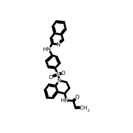 C=CC(=O)NC1CCN(S(=O)(=O)c2ccc(Nc3cc4ccccc4cn3)cc2)c2ccccc21